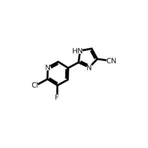 N#Cc1c[nH]c(-c2cnc(Cl)c(F)c2)n1